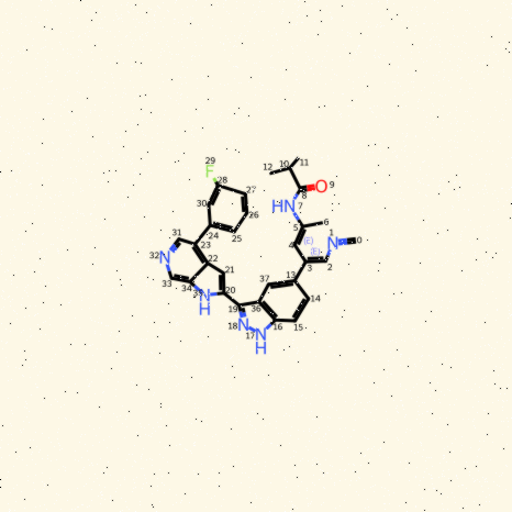 C=N/C=C(\C=C(/C)NC(=O)C(C)C)c1ccc2[nH]nc(-c3cc4c(-c5cccc(F)c5)cncc4[nH]3)c2c1